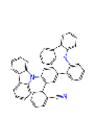 N#Cc1ccccc1-c1cc(-c2ccccc2-n2c3ccccc3c3ccccc32)ccc1-n1c2ccccc2c2ccccc21